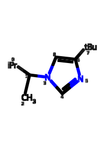 CC(C)C(C)n1cnc(C(C)(C)C)c1